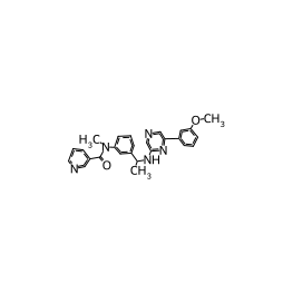 COc1cccc(-c2cncc(NC(C)c3cccc(N(C)C(=O)c4cccnc4)c3)n2)c1